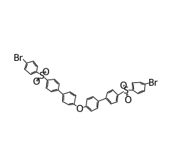 O=S(=O)(c1ccc(Br)cc1)c1ccc(-c2ccc(Oc3ccc(-c4ccc(S(=O)(=O)c5ccc(Br)cc5)cc4)cc3)cc2)cc1